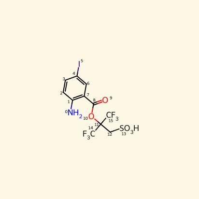 Nc1ccc(I)cc1C(=O)OC(CS(=O)(=O)O)(C(F)(F)F)C(F)(F)F